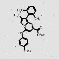 COC(=O)c1cc(Nc2ccc(OC)cc2)n2nc(C)c(-c3c(C)cccc3C)c2n1